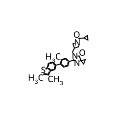 Cc1cc(C2=NC3(CC3)C(=O)N2CC2CN(C(=O)C3CC3)C2)ccc1-c1ccc2sc(C)c(C)c2c1